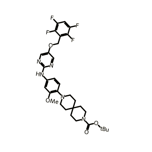 COc1cc(Nc2ncc(OCc3c(F)c(F)cc(F)c3F)cn2)ccc1N1CCC2(CCN(C(=O)OC(C)(C)C)CC2)CC1